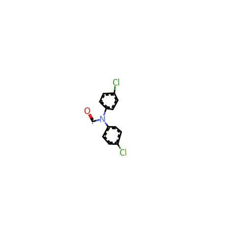 O=[C]N(c1ccc(Cl)cc1)c1ccc(Cl)cc1